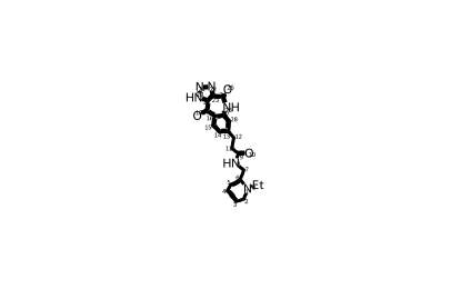 CCN1CC=CC=C1CNC(=O)CCc1ccc2c(=O)c3[nH]nnc3c(=O)[nH]c2c1